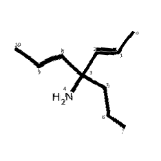 CC=CC(N)(CCC)CCC